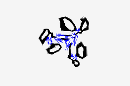 C1=CCCC(n2c(C3=NC4=NC(c5cc6ccccc6n5-c5ccccc5)=NC5=NC(C6Cc7ccccc7N6c6ccccc6)=NC(=N3)N45)cc3ccccc32)=C1